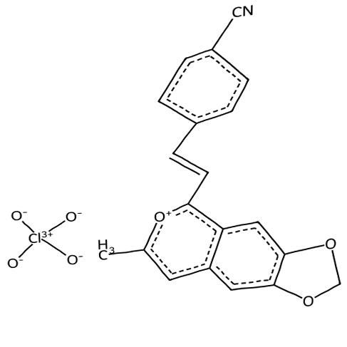 Cc1cc2cc3c(cc2c(C=Cc2ccc(C#N)cc2)[o+]1)OCO3.[O-][Cl+3]([O-])([O-])[O-]